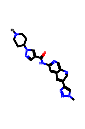 CCN1CCC(n2cc(C(=O)Nc3cc4cc(-c5cn(C)nn5)cnc4cn3)cn2)CC1